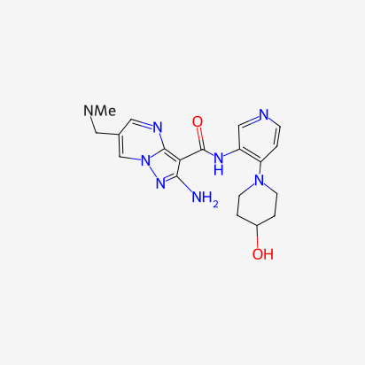 CNCc1cnc2c(C(=O)Nc3cnccc3N3CCC(O)CC3)c(N)nn2c1